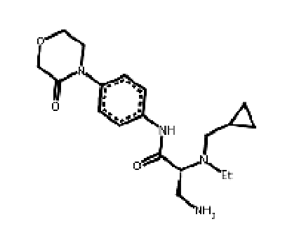 CCN(CC1CC1)[C@@H](CN)C(=O)Nc1ccc(N2CCOCC2=O)cc1